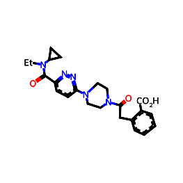 CCN(C(=O)c1ccc(N2CCN(C(=O)Cc3ccccc3C(=O)O)CC2)nn1)C1CC1